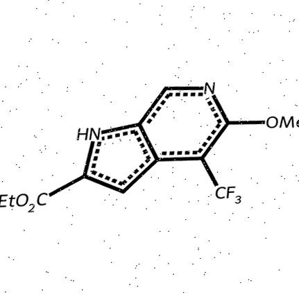 CCOC(=O)c1cc2c(C(F)(F)F)c(OC)ncc2[nH]1